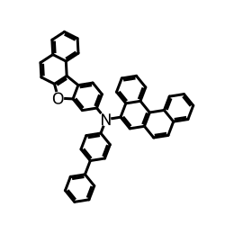 c1ccc(-c2ccc(N(c3ccc4c(c3)oc3ccc5ccccc5c34)c3cc4ccc5ccccc5c4c4ccccc34)cc2)cc1